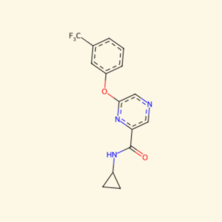 O=C(NC1CC1)c1cncc(Oc2cccc(C(F)(F)F)c2)n1